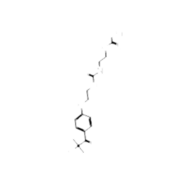 CCC(C)C(=O)OCCNC(=O)OCCOc1ccc(C(=O)C(C)(C)O)cc1